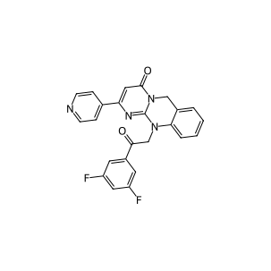 O=C(CN1c2ccccc2Cn2c1nc(-c1ccncc1)cc2=O)c1cc(F)cc(F)c1